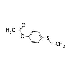 C=CSc1ccc(OC(C)=O)cc1